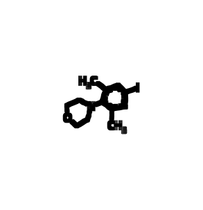 Cc1cc(I)cc(C)c1N1CCOCC1